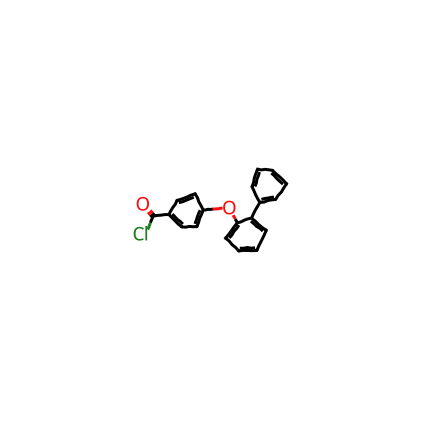 O=C(Cl)c1ccc(Oc2ccccc2-c2ccccc2)cc1